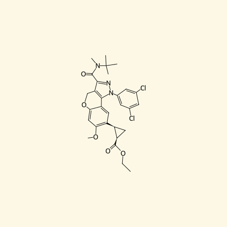 CCOC(=O)[C@@H]1C[C@@H]1c1cc2c(cc1OC)OCc1c(C(=O)N(C)C(C)(C)C)nn(-c3cc(Cl)cc(Cl)c3)c1-2